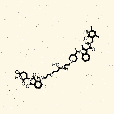 Cc1cc(C)c(CNC(=O)c2c(C)n([C@H](C)C3CCN(CCNC(O)CCOCCNc4cccc5c4C(=O)N(C4CCC(=O)NC4=O)C5=O)CC3)c3ccccc23)c(=O)[nH]1